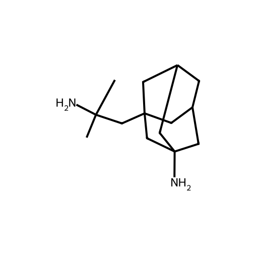 CC(C)(N)CC12CC3CC(CC(N)(C3)C1)C2